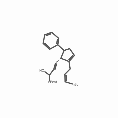 CCCC/C=C\CC1=CCC(c2ccccc2)[C@H]1/C=C/C(O)CCCCC